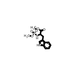 COP(=O)(NC(Cc1c[nH]c2ccccc12)C(=O)O)OC